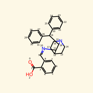 O=C(O)c1ccccc1/C=N\C1C2CCN(CC2)C1C(c1ccccc1)c1ccccc1